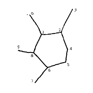 [CH2]C1C(C)CCC(C)C1C